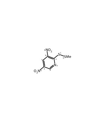 CSSc1ncc([N+](=O)[O-])cc1[N+](=O)[O-]